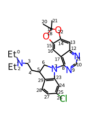 CCN(CC)CCC1CN(c2ncnc3cc4c(cc23)OC(C)(C)O4)c2cc(Cl)ccc21